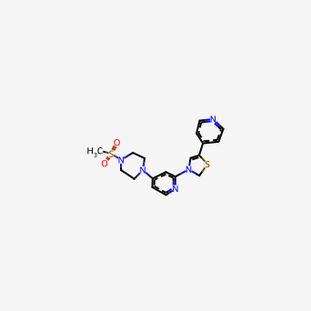 CS(=O)(=O)N1CCN(c2ccnc(N3C=C(c4ccncc4)SC3)c2)CC1